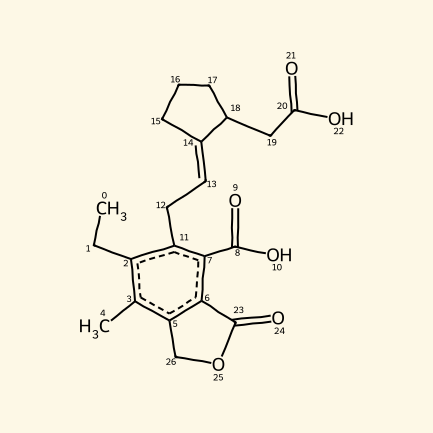 CCc1c(C)c2c(c(C(=O)O)c1CC=C1CCCC1CC(=O)O)C(=O)OC2